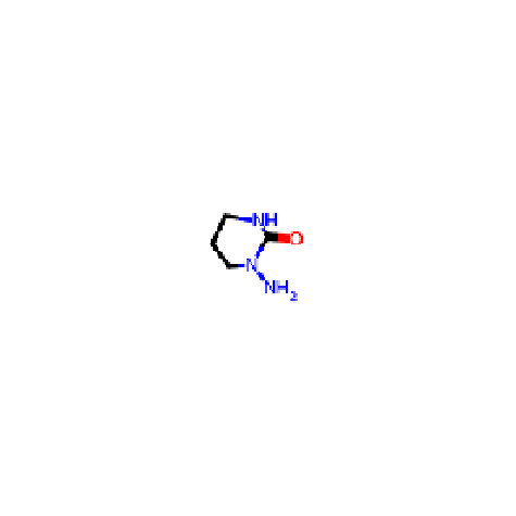 NN1CCCNC1=O